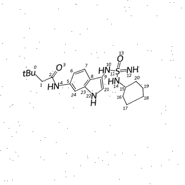 CC(C)(C)CC(=O)Nc1ccc2c(NS(=N)(=O)NC3CCCCC3)c[nH]c2c1